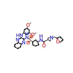 COc1cc(Nc2nc3ccccc3nc2NS(=O)(=O)c2cccc(NC(=O)C3CN(Cc4ccco4)C3)c2)cc(OC)c1